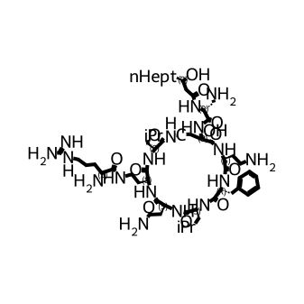 CCCCCCC[C@@H](O)CC(=O)N[C@H](CN)C(=O)N[C@]1(O)CCNC(=O)[C@H](CC(C)C)NC(=O)[C@H](CCNC(=O)[C@@H](N)CCCNC(=N)N)NC(=O)[C@H](CCN)NC(=O)[C@H](CC(C)C)NC(=O)[C@@H](Cc2ccccc2)NC(=O)[C@H](CCN)NC1=O